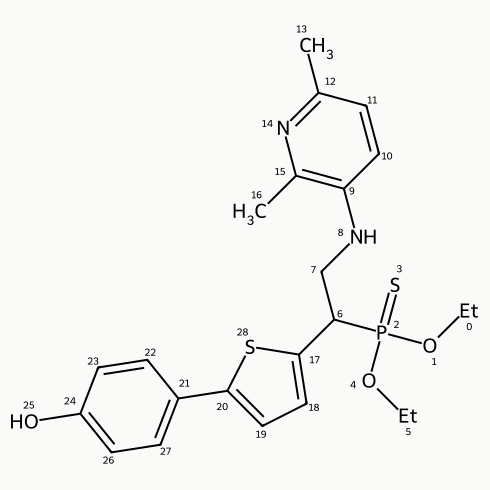 CCOP(=S)(OCC)C(CNc1ccc(C)nc1C)c1ccc(-c2ccc(O)cc2)s1